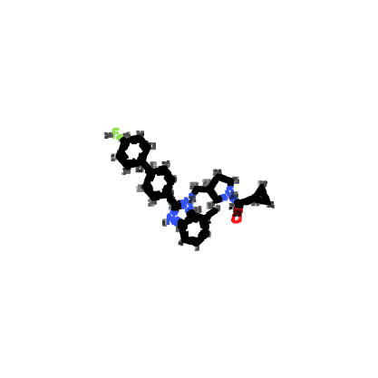 Cc1cccc2nc(-c3ccc(-c4ccc(F)cc4)cc3)n(CC3CCN(C(=O)C4CC4)C3)c12